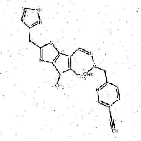 C#Cc1ccc(CN(C=O)/N=C\c2c(C)n(C)c3nc(Cc4cc[nH]n4)sc23)nc1